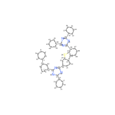 c1ccc(-c2cccc(-c3nc(-c4ccccc4)nc(-c4ccc5c(c4)sc4c(-c6nc(-c7ccccc7)nc(-c7ccccc7)n6)cccc45)n3)c2)cc1